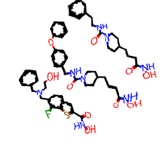 O=C(CCCC1CCN(C(=O)NCCc2ccccc2)CC1)NO.O=C(CCCC1CCN(C(=O)NCc2ccc(Oc3ccccc3)cc2)CC1)NO.O=C(NO)c1cc2ccc(CN(CCO)Cc3ccccc3)c(F)c2s1